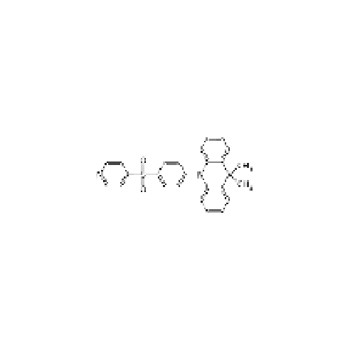 CC1(C)c2ccccc2N(c2ccc(S(=O)(=O)c3ccncc3)cc2)c2ccccc21